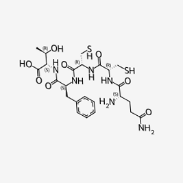 C[C@@H](O)[C@H](NC(=O)[C@H](Cc1ccccc1)NC(=O)[C@H](CS)NC(=O)[C@H](CS)NC(=O)[C@@H](N)CCC(N)=O)C(=O)O